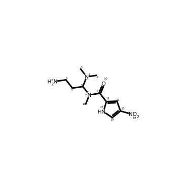 CN(C)C(CCN)N(C)C(=O)c1cc([N+](=O)[O-])c[nH]1